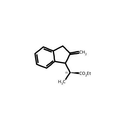 C=C1Cc2ccccc2C1[C@H](C)C(=O)OCC